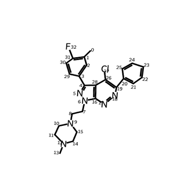 Cc1cc(-c2nn(CCN3CCN(C)CC3)c3nnc(-c4ccccc4)c(Cl)c23)ccc1F